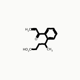 C=CC(=O)c1ccccc1C(C)CCC(=O)O